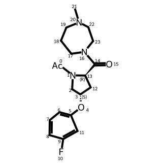 CC(=O)N1C[C@@H](Oc2cccc(F)c2)C[C@@H]1C(=O)N1CCCN(C)CC1